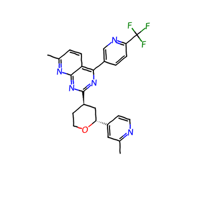 Cc1cc([C@H]2C[C@H](c3nc(-c4ccc(C(F)(F)F)nc4)c4ccc(C)nc4n3)CCO2)ccn1